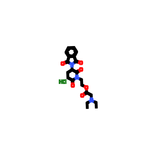 CCN(CC)CC(=O)OCCN1C(=O)CCC(N2C(=O)c3ccccc3C2=O)C1=O.Cl